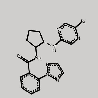 O=C(NC1CCC[C@@H]1Nc1cnc(Br)cn1)c1ccccc1-n1nccn1